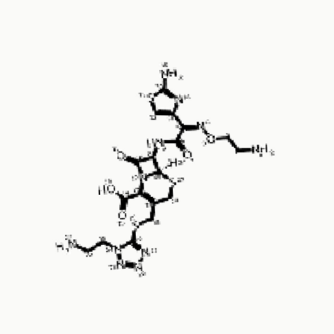 NCCO/N=C(\C(=O)NC1C(=O)N2C(C(=O)O)=C(CSc3nnnn3CCN)CS[C@H]12)c1csc(N)n1